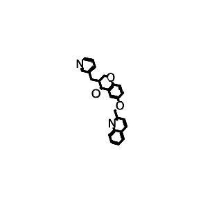 O=C1c2cc(OCc3ccc4ccccc4n3)ccc2OCC1Cc1cccnc1